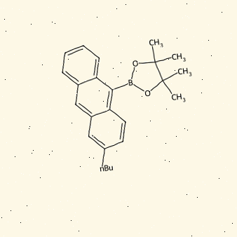 CCCCc1ccc2c(B3OC(C)(C)C(C)(C)O3)c3ccccc3cc2c1